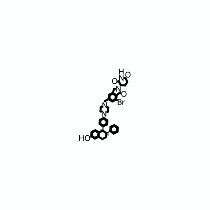 O=C1CCC(N2Cc3cc(CN4CCN(c5ccc([C@@H]6c7ccc(O)cc7CC[C@@H]6c6ccccc6)cc5)CC4)cc(Br)c3C2=O)C(=O)N1